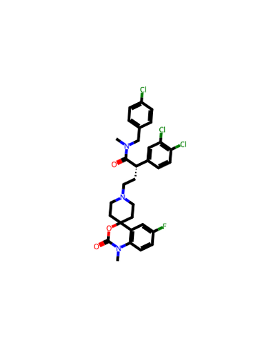 CN(Cc1ccc(Cl)cc1)C(=O)[C@@H](CCN1CCC2(CC1)OC(=O)N(C)c1ccc(F)cc12)c1ccc(Cl)c(Cl)c1